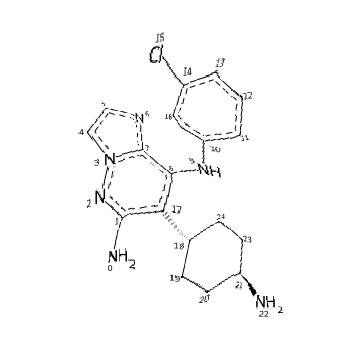 Nc1nn2ccnc2c(Nc2cccc(Cl)c2)c1[C@H]1CC[C@H](N)CC1